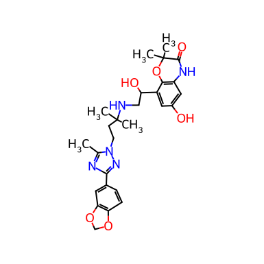 Cc1nc(-c2ccc3c(c2)OCO3)nn1CCC(C)(C)NCC(O)c1cc(O)cc2c1OC(C)(C)C(=O)N2